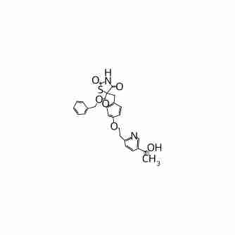 C[C@@H](O)c1ccc(CCOc2ccc(CC3(C(=O)OCc4ccccc4)SC(=O)NC3=O)cc2)nc1